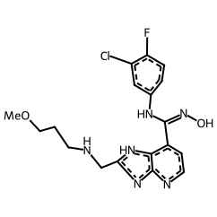 COCCCNCc1nc2nccc(/C(=N\O)Nc3ccc(F)c(Cl)c3)c2[nH]1